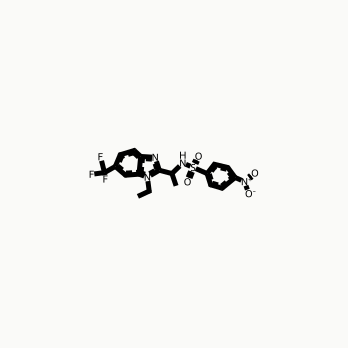 CCn1c(C(C)NS(=O)(=O)c2ccc([N+](=O)[O-])cc2)nc2ccc(C(F)(F)F)cc21